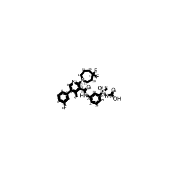 Cc1c(-c2cccc(F)c2)cnc(N2CCCC(F)(F)CC2)c1C(=O)Nc1cccc(S(C)(=O)=NC(=O)O)c1